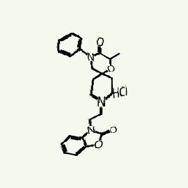 CC1OC2(CCN(CCn3c(=O)oc4ccccc43)CC2)CN(c2ccccc2)C1=O.Cl